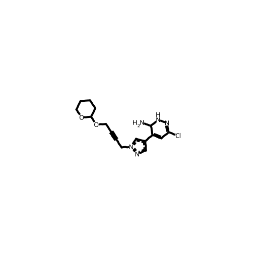 NC1NN=C(Cl)C=C1c1cnn(CC#CCOC2CCCCO2)c1